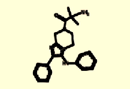 CC(C)(N)C(=O)N1CCn2c(nc(-c3ccccc3)c2Nc2ccccc2)C1